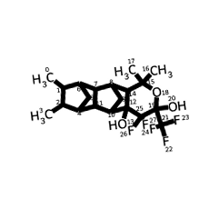 CC1C(C)C2CC1C1C3CC(C21)C1(O)C3C(C)(C)OC(O)(C(F)(F)F)C1(F)F